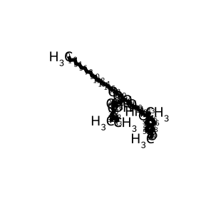 CCCCCCCCCCCCCCCCCOCOCC(COP(=O)(O)OCCN(C)CC)OCOCCNCOC(C)c1ccc2cc(OC)ccc2c1